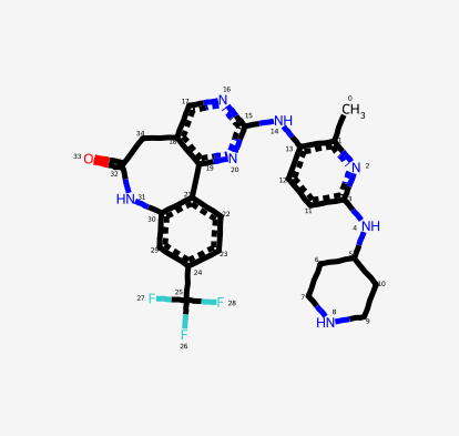 Cc1nc(NC2CCNCC2)ccc1Nc1ncc2c(n1)-c1ccc(C(F)(F)F)cc1NC(=O)C2